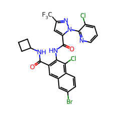 O=C(NC1CCC1)c1cc2cc(Br)ccc2c(Cl)c1NC(=O)c1cc(C(F)(F)F)nn1-c1ncccc1Cl